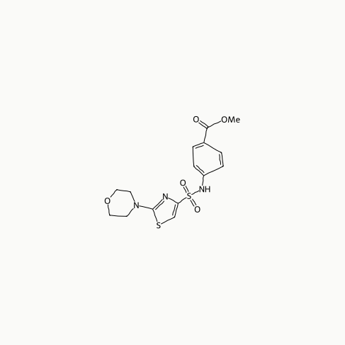 COC(=O)c1ccc(NS(=O)(=O)c2csc(N3CCOCC3)n2)cc1